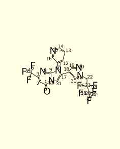 O=c1cc(C(F)(F)F)nc2n(-c3cccnc3)c(-c3cnn(CC(F)(F)C(F)(F)F)c3)cn12